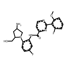 COc1cccc(F)c1-c1nccc(C(=O)Nc2cc(F)ccc2N2CC(N)CC2CO)n1